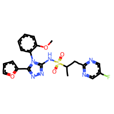 COc1ccccc1-n1c(NS(=O)(=O)C(C)Cc2ncc(F)cn2)nnc1-c1ccco1